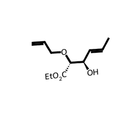 C=CCO[C@@H](C(=O)OCC)[C@H](O)/C=C/C